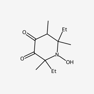 CCC1(C)C(=O)C(=O)C(C)C(C)(CC)N1O